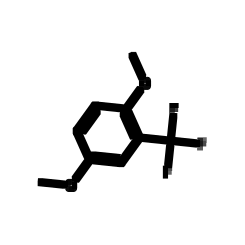 COc1ccc(OC)c(C(F)(F)F)c1